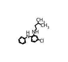 CC(C)CCNc1cc(Cl)ccc1Nc1ccccc1